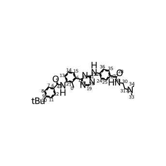 Cc1c(NC(=O)c2ccc(C(C)(C)C)cc2)cccc1-c1ncnc(Nc2ccc(C(=O)NCCN(C)C)cc2)n1